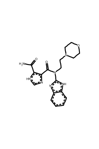 NC(=O)c1[nH]cnc1C(=O)N(CCN1CCOCC1)c1nc2ccccc2[nH]1